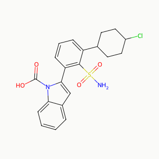 NS(=O)(=O)c1c(-c2cc3ccccc3n2C(=O)O)cccc1C1CCC(Cl)CC1